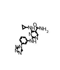 NC(=O)c1cnc(Nc2cccc(-n3cnnn3)c2)nc1NC1CC1